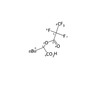 CCCCC(OC(=O)C(F)(F)C(F)(F)F)C(=O)O